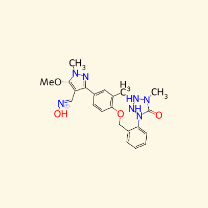 COc1c(/C=N/O)c(-c2ccc(OCc3ccccc3N3NNN(C)C3=O)c(C)c2)nn1C